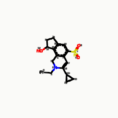 CC(C)CN1Cc2c(c([SH](=O)=O)cc3c2C(O)CC3)C=C1C1CC1